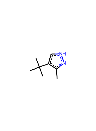 Cc1n[nH]cc1C(C)(C)C